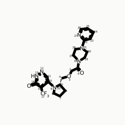 O=C(COC[C@@H]1CCCN1c1cn[nH]c(=O)c1C(F)(F)F)N1CCN(c2ccccn2)CC1